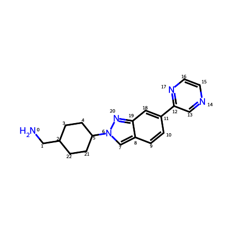 NCC1CCC(n2cc3ccc(-c4cnccn4)cc3n2)CC1